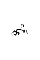 CC[C@H](N)CC1(F)COC1